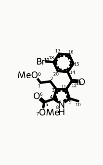 COCCc1c(C(=O)OC)[nH]c(C)c1C(=O)c1cccc(Br)c1